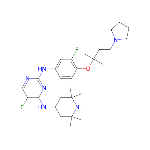 CN1C(C)(C)CC(Nc2nc(Nc3ccc(OC(C)(C)CCN4CCCC4)c(F)c3)ncc2F)CC1(C)C